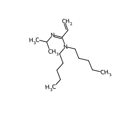 C=CC(=NC(C)C)N(CCCCC)CCCCC